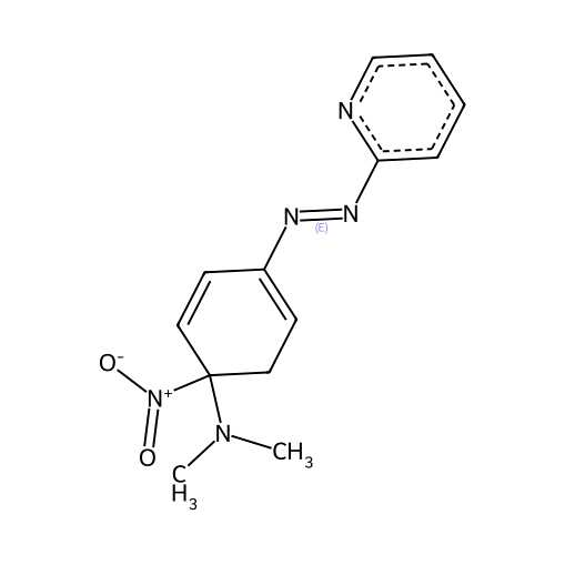 CN(C)C1([N+](=O)[O-])C=CC(/N=N/c2ccccn2)=CC1